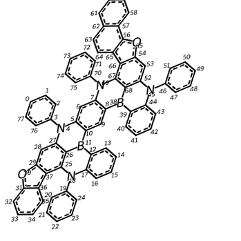 c1ccc(N2c3cc4c(cc3B3c5ccccc5N(c5ccccc5)c5c3c2cc2oc3ccccc3c52)B2c3ccccc3N(c3ccccc3)c3cc5oc6c7ccccc7ccc6c5c(c32)N4c2ccccc2)cc1